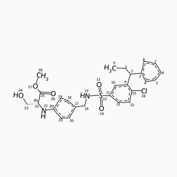 CCC(c1ccccc1)c1cc(S(=O)(=O)NCc2ccc(N[C@H](CO)C(=O)OC)cc2)ccc1Cl